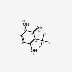 CC(C)(C)C1=C(O)C=CC(O)C1=[Se]